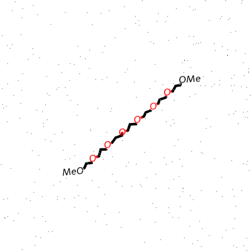 COCCCOCCCOCCCOCCCOCCCOCCCOCCCOC